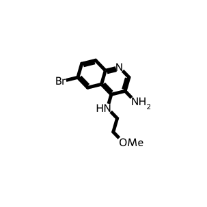 COCCNc1c(N)cnc2ccc(Br)cc12